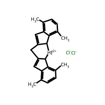 Cc1ccc(C)c2c1C=C1CC3=Cc4c(C)ccc(C)c4[CH]3[Hf+2][CH]12.[Cl-].[Cl-]